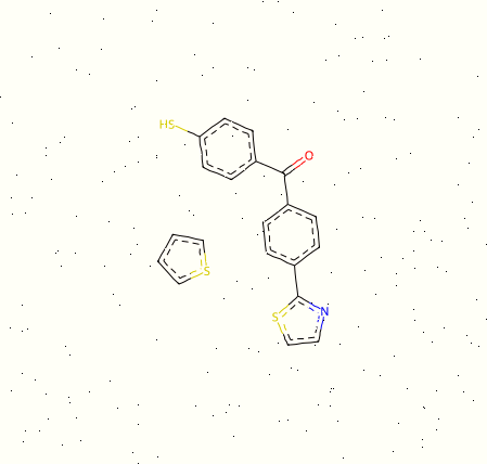 O=C(c1ccc(S)cc1)c1ccc(-c2nccs2)cc1.c1ccsc1